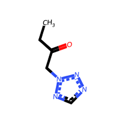 CCC(=O)Cn1ncnn1